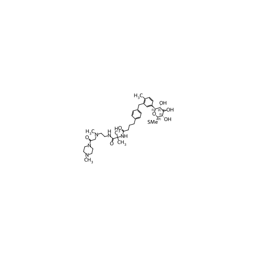 CS[C@H]1O[C@@H](c2ccc(C)c(Cc3ccc(CCCC(=O)NC(C)(C)C(=O)NCCN(C)CC(=O)N4CCN(C)CC4)cc3)c2)[C@H](O)[C@@H](O)[C@@H]1O